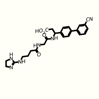 N#Cc1cccc(-c2ccc(C(CC(=O)O)NC(=O)CNC(=O)CCCNC3=NCCN3)cc2)c1